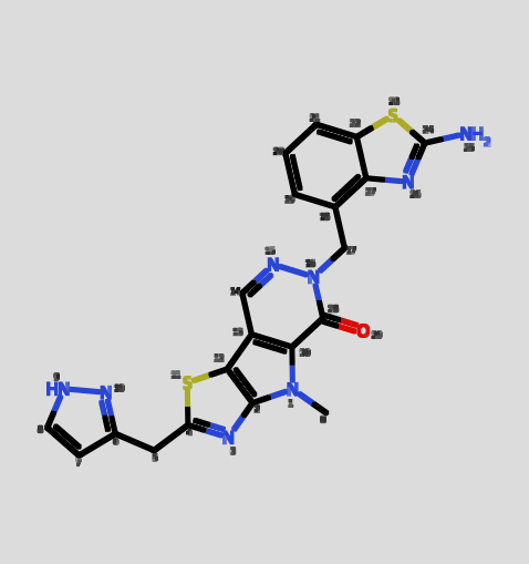 Cn1c2nc(Cc3cc[nH]n3)sc2c2cnn(Cc3cccc4sc(N)nc34)c(=O)c21